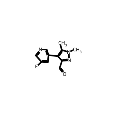 Cc1c(-c2cncc(F)c2)c(C=O)nn1C